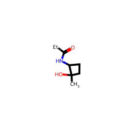 CCC(=O)NC1CCC1(C)O